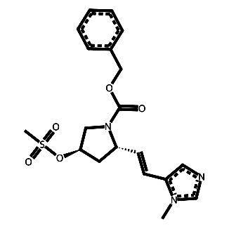 Cn1cncc1/C=C/[C@@H]1C[C@@H](OS(C)(=O)=O)CN1C(=O)OCc1ccccc1